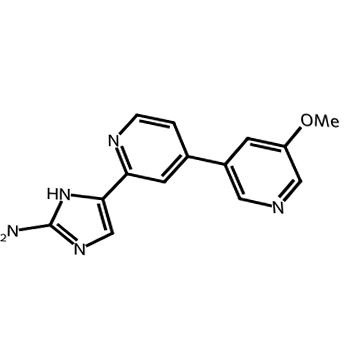 COc1cncc(-c2ccnc(-c3cnc(N)[nH]3)c2)c1